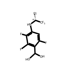 CC[C@@H](Nc1cc(F)c(C(O)O)c(F)c1F)C(F)(F)F